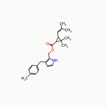 CC(C)=CC1C(C(=O)OCc2[nH]ccc2Cc2ccc(C)cc2)C1(C)C